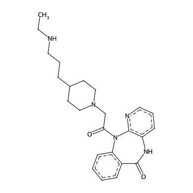 CCNCCCC1CCN(CC(=O)N2c3ccccc3C(=O)Nc3cccnc32)CC1